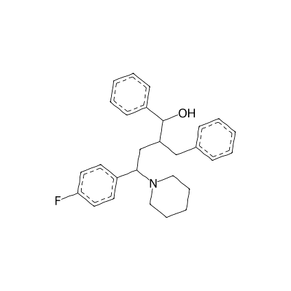 OC(c1ccccc1)C(Cc1ccccc1)CC(c1ccc(F)cc1)N1CCCCC1